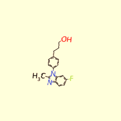 Cc1nc2ccc(F)cc2n1-c1ccc(CCCO)cc1